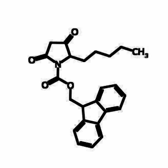 CCCCCC1C(=O)CC(=O)N1C(=O)OCC1c2ccccc2-c2ccccc21